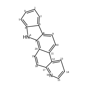 c1ccc2c(c1)[nH]c1c2ccc2c3cccnc3ccc21